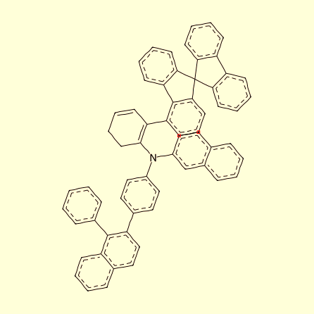 C1=CC(c2cccc3c2-c2ccccc2C32c3ccccc3-c3ccccc32)=C(N(c2ccc(-c3ccc4ccccc4c3-c3ccccc3)cc2)c2ccc3ccccc3c2)CC1